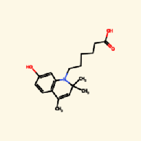 CC1=CC(C)(C)N(CCCCCC(=O)O)c2cc(O)ccc21